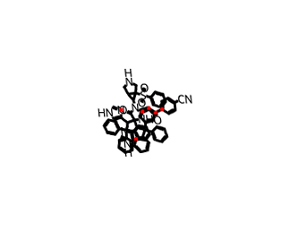 N#Cc1ccc(C(=O)C=C2NC(C(c3c[nH]cn3)C(c3ccccc3)(c3ccccc3)c3ccccc3)(C(c3c[nH]cn3)C(c3ccccc3)(c3ccccc3)c3ccccc3)C(=O)N2C2C3CNCC32S(=O)(=O)c2ccccc2)cc1